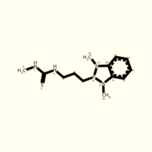 CNC(=S)NCCCP1N(C)c2ccccc2N1C